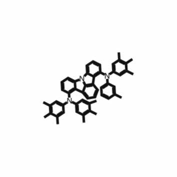 Cc1cccc(N(c2cc(C)c(C)c(C)c2)c2cccc3c2c2cccc4c5c(N(c6cc(C)c(C)c(C)c6)c6cc(C)c(C)c(C)c6)cccc5n3c24)c1